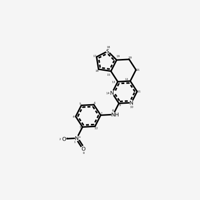 O=[N+]([O-])c1cccc(Nc2ncc3c(n2)-c2ccsc2CC3)c1